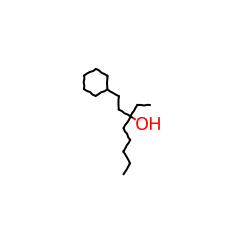 CCCCCC(O)(CC)CCC1CCCCC1